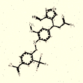 COc1cc(C(CC(C)=O)c2c[nH]nc2C=N)ccc1OCc1ccc(C(=O)O)cc1C(F)(F)F